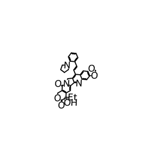 CC[C@@]1(O)C(=O)OCc2c1cc1n(c2=O)Cc2c-1nc1cc3c(cc1c2C=Cc1ccccc1N1CCCC1)OCO3